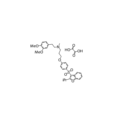 COc1ccc(CCN(C)CCCOc2ccc(S(=O)(=O)c3c(C(C)C)oc4ccccc34)cc2)cc1OC.O=C(O)C(=O)O